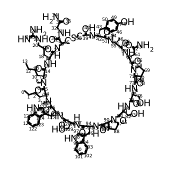 CCCC[C@H]1C(=O)N(C)[C@@H](CCCC)C(=O)N[C@@H](CCCNC(=N)N)C(=O)NC(C(=O)NCC(N)=O)CSCC(=O)N[C@@H](Cc2ccc(O)cc2)C(=O)N(C)[C@@H](C)C(=O)N[C@@H](CC(N)=O)C(=O)N2CCC[C@H]2C(=O)N[C@@H](CO)C(=O)N[C@@H](CO)C(=O)N2CCC[C@H]2C(=O)N[C@@H](Cc2c[nH]c3ccccc23)C(=O)N[C@@H](CO)C(=O)N[C@@H](Cc2c[nH]c3ccccc23)C(=O)N1C